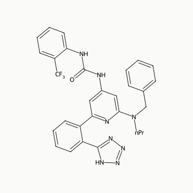 CCCN(Cc1ccccc1)c1cc(NC(=O)Nc2ccccc2C(F)(F)F)cc(-c2ccccc2-c2nnn[nH]2)n1